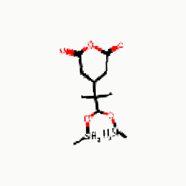 C[SiH2]OC(O[SiH2]C)C(C)(C)C1CC(=O)OC(=O)C1